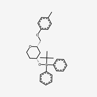 Cc1ccc(OC[C@@H]2C[C@H](O[Si](c3ccccc3)(c3ccccc3)C(C)(C)C)CCO2)cc1